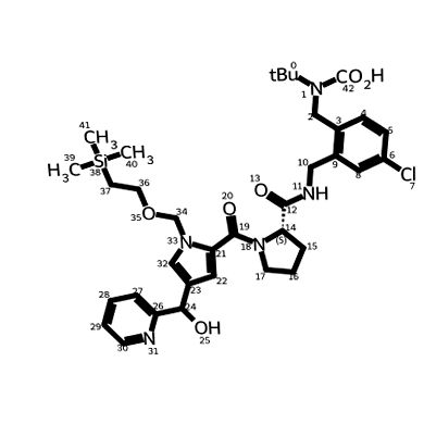 CC(C)(C)N(Cc1ccc(Cl)cc1CNC(=O)[C@@H]1CCCN1C(=O)c1cc(C(O)c2ccccn2)cn1COCC[Si](C)(C)C)C(=O)O